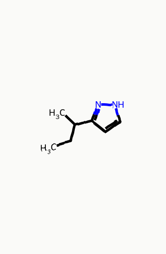 CCC(C)c1cc[nH]n1